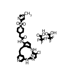 Cn1cnc(S(=O)(=O)N2CCC(CC(=O)Nc3ccc4cc3CCc3cncc(c3)Nc3ncc(Cl)c(n3)N4)CC2)c1.O=C(O)C(F)(F)F.O=C(O)C(F)(F)F